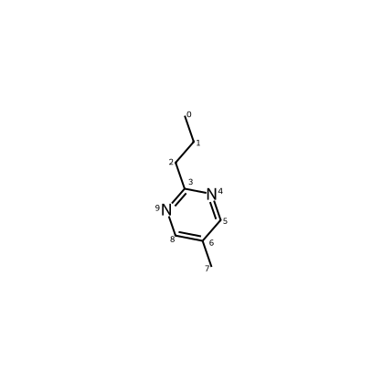 CCCc1ncc(C)cn1